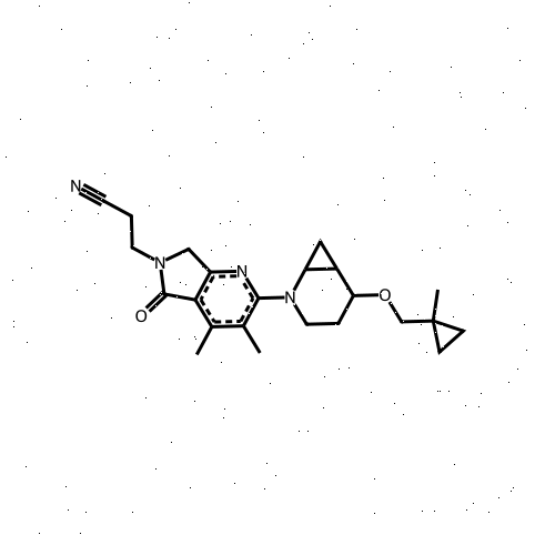 Cc1c(N2CCC(OCC3(C)CC3)C3CC32)nc2c(c1C)C(=O)N(CCC#N)C2